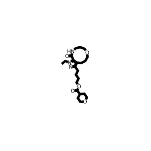 CCn1nc(CCCCOC(=O)C2CCOCC2)c2c1C(=O)NCCCOCCC2